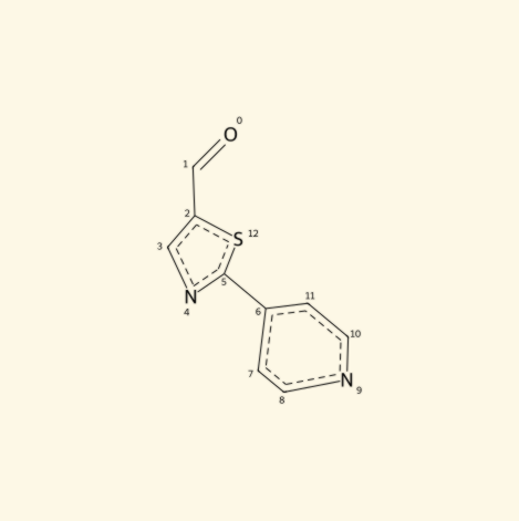 O=Cc1cnc(-c2ccncc2)s1